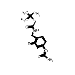 CC(C)(C)OC(=O)NCc1ccc(OC(N)=O)cc1F